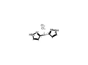 [CH]1=C[C]([Zr+2][C]2=[N][BiH][CH]=C2)=[N][BiH]1.[Cl-].[Cl-]